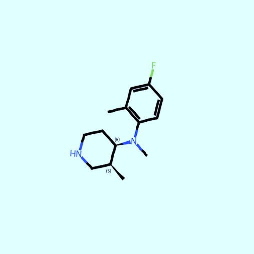 Cc1cc(F)ccc1N(C)[C@@H]1CCNC[C@@H]1C